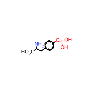 N[C@@H](Cc1ccc(OB(O)O)cc1)C(=O)O